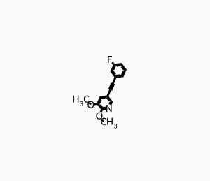 COc1cc(C#Cc2cccc(F)c2)cnc1OC